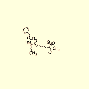 CCC[C@H](NC(=O)OCc1ccccc1)C(=O)NCCCCC(C(C)=O)[N+](=O)[O-]